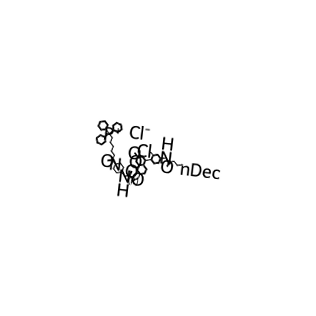 CCCCCCCCCCCCCC(=O)Nc1ccc(-c2cc(=O)oc3cc(O[C@H](C)C(=O)NC4CCN(C(=O)CCCCC[P+](c5ccccc5)(c5ccccc5)c5ccccc5)CC4)ccc23)c(Cl)c1.[Cl-]